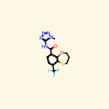 Cn1nnnc1NC(=O)c1ccc(C(F)(F)F)c2c1OCCCS2